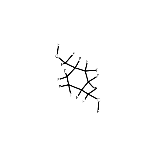 FOC(F)(F)C1(F)C(F)(F)C(F)(F)C(F)(C(F)(F)OF)C(F)(F)C1(F)F